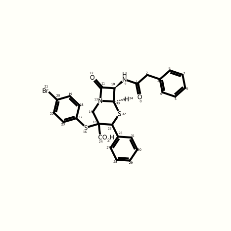 O=C(Cc1ccccc1)N[C@@H]1C(=O)N2CC(Sc3ccc(Br)cc3)(C(=O)O)C(c3ccccc3)S[C@H]12